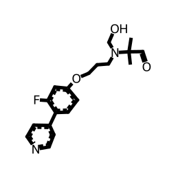 CC(C)(C=O)N(CO)CCCOc1ccc(-c2ccncc2)c(F)c1